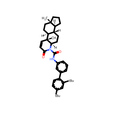 CC(C)(C)c1ccc(-c2cccc(NC(=O)N3C(=O)C=C[C@]4(C)[C@H]5CC[C@]6(C)CCC[C@H]6[C@@H]5CC[C@@H]34)c2)c(C(C)(C)C)c1